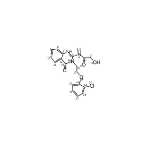 O=C(CO)Nc1nc2ccccc2c(=O)n1CCOc1ccccc1Cl